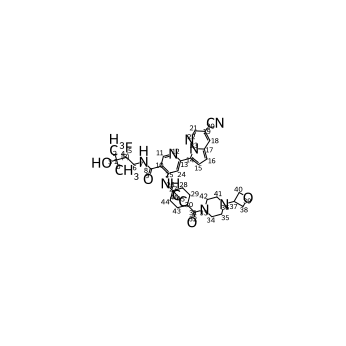 CC(C)(O)[C@H](F)CNC(=O)c1cnc(-c2ccc3cc(C#N)cnn23)cc1NC12CCC(C(=O)N3CCN(C4COC4)CC3)(CC1)CC2